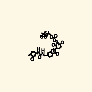 Cc1ccc(NC(=O)NCc2ccc3c(c2)CN(C2CCC(=O)N(COC(=O)OCC(C)(C)SS(C)(=O)=O)C2=O)C3=O)cc1Cl